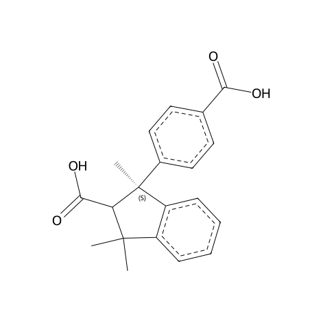 CC1(C)c2ccccc2[C@](C)(c2ccc(C(=O)O)cc2)C1C(=O)O